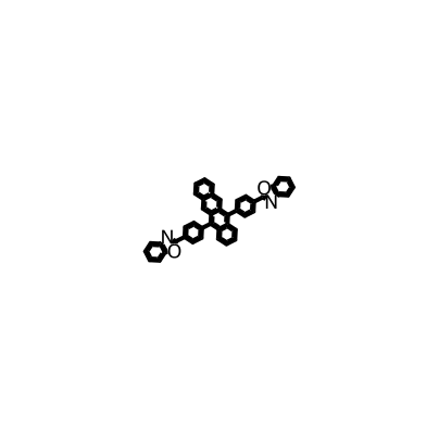 c1ccc2cc3c(-c4ccc(-c5nc6ccccc6o5)cc4)c4ccccc4c(-c4ccc(-c5nc6ccccc6o5)cc4)c3cc2c1